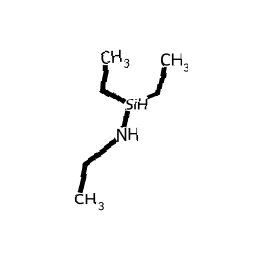 CCN[SiH](CC)CC